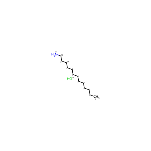 CCCCCCCCCCCCCN.Cl